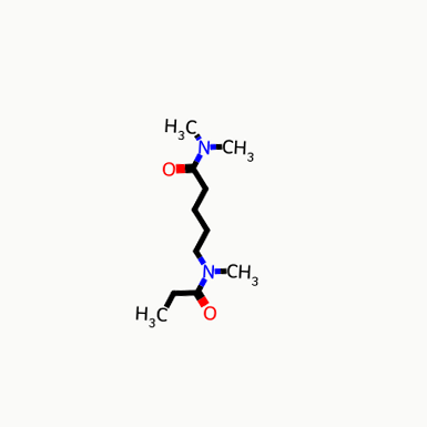 CCC(=O)N(C)CCCCC(=O)N(C)C